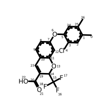 Cc1cc(Cl)c(Oc2ccc3c(c2)OC(C(F)(F)F)C(C(=O)O)=C3)cc1C